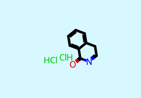 Cl.Cl.O=C1N=CCc2ccccc21